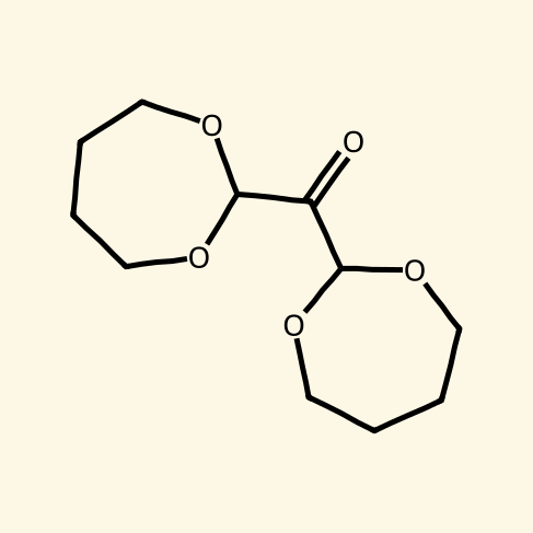 O=C(C1OCCCCO1)C1OCCCCO1